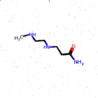 CNCCNCCC(N)=O